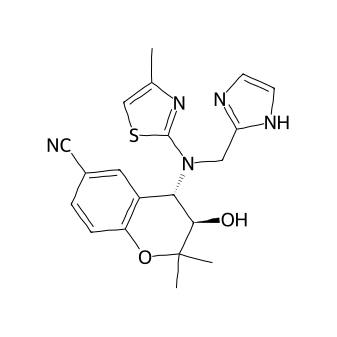 Cc1csc(N(Cc2ncc[nH]2)[C@H]2c3cc(C#N)ccc3OC(C)(C)[C@@H]2O)n1